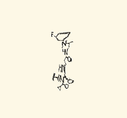 C[C@H]1CN(C(=O)CCNC(=O)NC(=O)C2CC2)CCN1c1cccc(F)c1